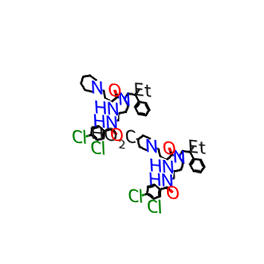 CCC(CN1CC[C@@H](CNC(=O)c2ccc(Cl)c(Cl)c2)N[C@@H](CCN2CCC(C(=O)O)CC2)C1=O)c1ccccc1.CCC(CN1CC[C@@H](CNC(=O)c2ccc(Cl)c(Cl)c2)N[C@@H](CCN2CCCCCC2)C1=O)c1ccccc1